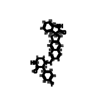 O=C1NCCN(Cc2ccc3cc4c(cc3n2)C[C@@]2(C4)C(=O)Nc3ccccc32)C1c1ccc(F)cc1